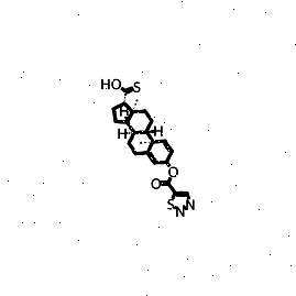 C[C@]12CC[C@H]3[C@@H](CCC4=CC(OC(=O)c5cnns5)C=C[C@@]43C)[C@@H]1CC[C@@H]2C(O)=S